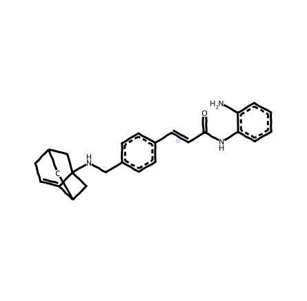 Nc1ccccc1NC(=O)/C=C/c1ccc(CNC23CC4CC=C2C(C4)C3)cc1